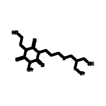 CCCn1c(=O)n(CCO)c(=O)n(CCCSCC(CO)SC(C)C)c1=O